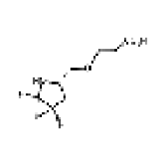 O=C(O)CCOC[C@@H]1C[C@@H]2C[C@@H]2N1